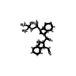 CC(C)(C)OC(=O)n1cc(C(=O)c2[nH]c3ccccc3c2C=O)c2ccccc21